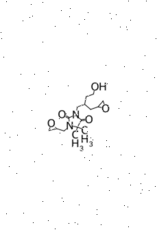 CC1(C)C(=O)N(CC(CCO)CC2CO2)C(=O)N1CC1CO1